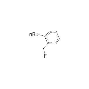 CCCCc1ccccc1CF